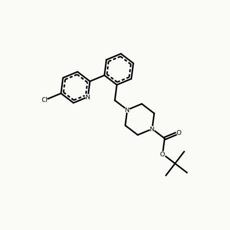 CC(C)(C)OC(=O)N1CCN(Cc2ccccc2-c2ccc(Cl)cn2)CC1